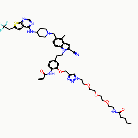 C=CC(=O)Nc1ccc(CCn2c(C#N)cc3c(C)c(CN4CCC(Nc5ncnc6sc(CC(F)(F)F)cc56)CC4)ccc32)cc1OCc1cn(CCOCCOCCOCCNC(=O)CCCC)nn1